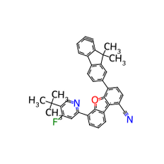 CC(C)(C)c1cnc(-c2cccc3c2oc2c(-c4ccc5c(c4)C(C)(C)c4c#cccc4-5)ccc(C#N)c23)cc1F